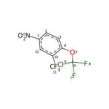 O=[N+]([O-])c1ccc(OC(F)(F)Cl)c(C(F)(F)F)c1